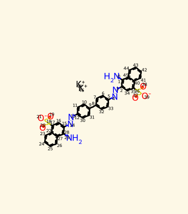 Nc1c(/N=N/c2ccc(-c3ccc(/N=N/c4cc(S(=O)(=O)[O-])c5ccccc5c4N)cc3)cc2)cc(S(=O)(=O)[O-])c2ccccc12.[K+].[K+]